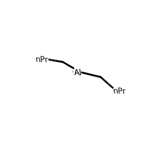 CCC[CH2][Al][CH2]CCC